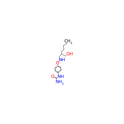 CCCCCC(CO)CNOc1ccc(NC(N)=O)cc1